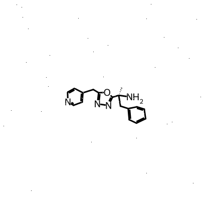 C[C@](N)(Cc1ccccc1)c1nnc(Cc2ccncc2)o1